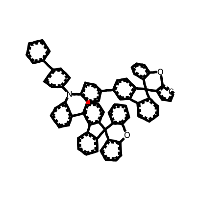 c1ccc(-c2ccc(N(c3ccc(-c4ccc5c(c4)-c4ccccc4C54c5ccccc5Oc5ccccc54)cc3)c3ccccc3-c3cccc4c3-c3ccccc3C43c4ccccc4Oc4ccccc43)cc2)cc1